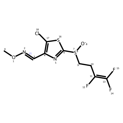 CO/N=C/c1nc([S+]([O-])CCC(F)=C(F)F)sc1Cl